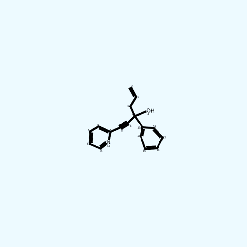 C=CCC(O)(C#Cc1ccccn1)c1ccccc1